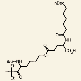 CCCCCCCCCCCCCCCC(=O)NC(CCC(=O)NCCCCC(NC(C)CC)C(=O)C(C)(CC)CC)C(=O)O